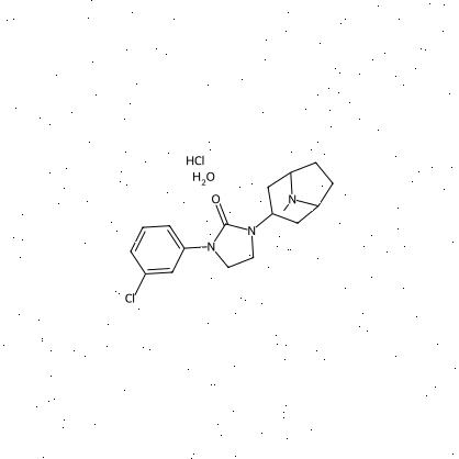 CN1C2CCC1CC(N1CCN(c3cccc(Cl)c3)C1=O)C2.Cl.O